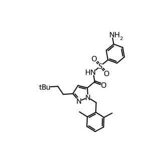 Cc1cccc(C)c1Cn1nc(CCC(C)(C)C)cc1C(=O)NS(=O)(=O)c1cccc(N)c1